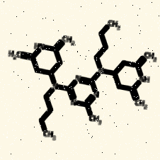 C=C1CC(N(CCCC)c2nc(C)nc(N(CCCC)C3CC(=C)NC(=C)C3)n2)CC(=C)N1